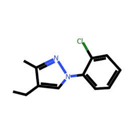 CCc1cn(-c2ccccc2Cl)nc1C